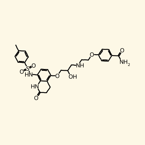 Cc1ccc(S(=O)(=O)Nc2ccc(OCC(O)CNCCOc3ccc(C(N)=O)cc3)c3c2NC(=O)CC3)cc1